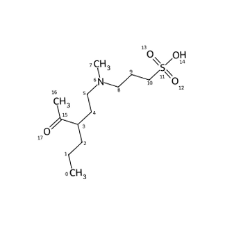 CCCC(CCN(C)CCCS(=O)(=O)O)C(C)=O